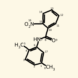 Cc1ccc(C)c(NC(=O)c2ccccc2[N+](=O)[O-])c1